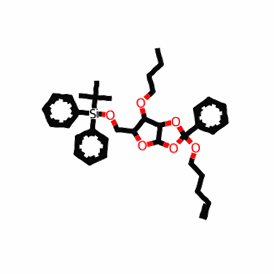 C=CCCCOC1(c2ccccc2)OC2OC(CO[Si](c3ccccc3)(c3ccccc3)C(C)(C)C)C(OCCCC)C2O1